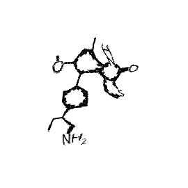 CCC(CN)c1ccc(-c2c(OC)cc(C)c3[nH]c(=O)c4sccc4c23)cc1